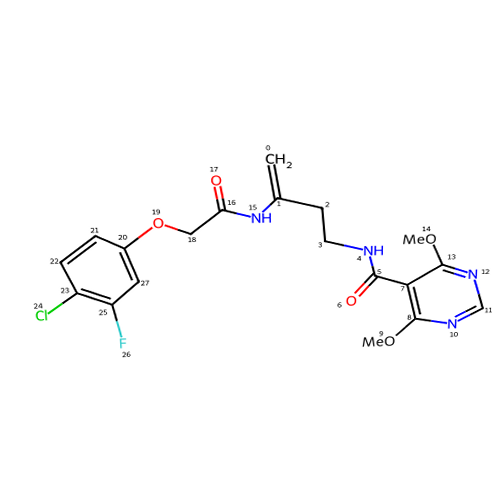 C=C(CCNC(=O)c1c(OC)ncnc1OC)NC(=O)COc1ccc(Cl)c(F)c1